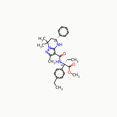 CCc1ccc([C@@](CC)(NC(=O)c2c(C)nn3c2N[C@@H](c2ccccc2)CC3(C)C)C(=O)OC)cc1